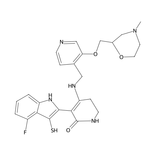 CN1CCOC(COc2cnccc2CNC2=C(c3[nH]c4cccc(F)c4c3S)C(=O)NCC2)C1